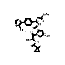 CSC(=O)C[C@@H](NC(=O)[C@@H]1C[C@@H](O)CN1C(=O)[C@@H](NC(=O)C1(F)CC1)C(C)(C)C)c1ccc(-c2scnc2C)cc1